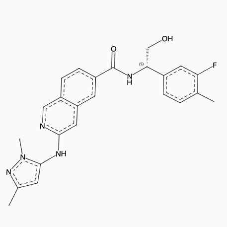 Cc1cc(Nc2cc3cc(C(=O)N[C@H](CO)c4ccc(C)c(F)c4)ccc3cn2)n(C)n1